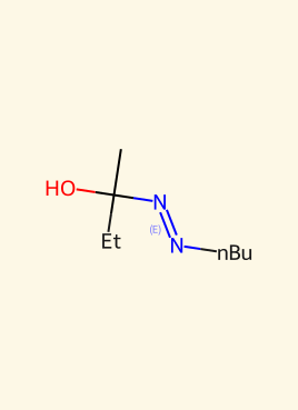 CCCC/N=N/C(C)(O)CC